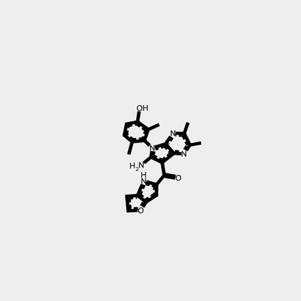 Cc1ccc(O)c(C)c1-n1c(N)c(C(=O)c2cc3occc3[nH]2)c2nc(C)c(C)nc21